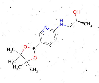 C[C@H](O)CNc1ccc(B2OC(C)(C)C(C)(C)O2)cn1